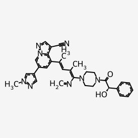 C=N/C(=C(C)\C=C(/C)c1cc(-c2cnn(C)c2)cn2ncc(C#N)c12)N1CCN(C(=O)[C@H](O)c2ccccc2)CC1